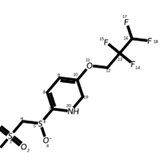 CCS(=O)(=O)C[S+]([O-])C1=CC=C(OCC(F)(F)C(F)F)CN1